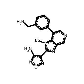 CCn1c(-c2nonc2N)nc2cncc(-c3cccc(CN)c3)c21